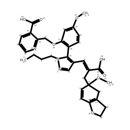 CCCCn1ncc(/C=C(\CC2(OC)C=CC3=C(CCO3)C2)C(=O)O)c1-c1ccc(OC)cc1OCc1ncccc1C(=O)O